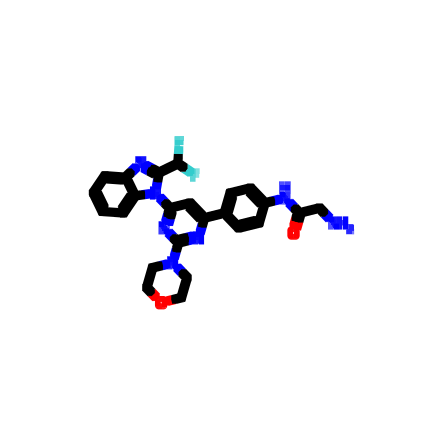 NCC(=O)Nc1ccc(-c2cc(-n3c(C(F)F)nc4ccccc43)nc(N3CCOCC3)n2)cc1